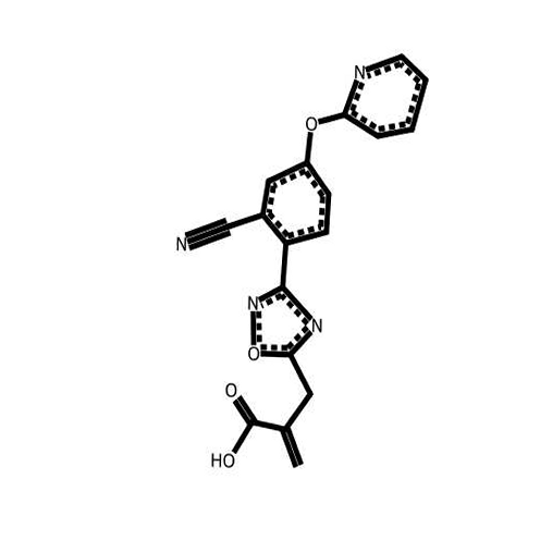 C=C(Cc1nc(-c2ccc(Oc3ccccn3)cc2C#N)no1)C(=O)O